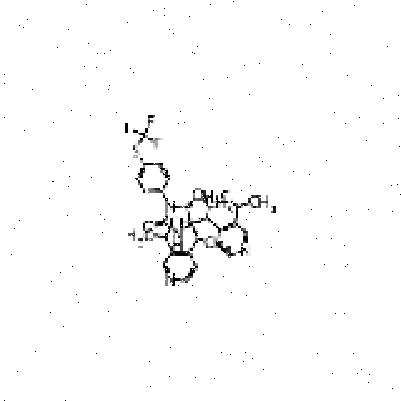 CC(C)c1cnccc1C(C)C1(C(C)c2ccncc2C(C)C)NC(=O)N(c2ccc(SC(F)(F)F)cc2)C1=O